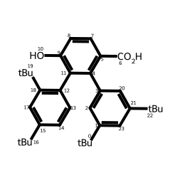 CC(C)(C)c1cc(-c2c(C(=O)O)ccc(O)c2-c2ccc(C(C)(C)C)cc2C(C)(C)C)cc(C(C)(C)C)c1